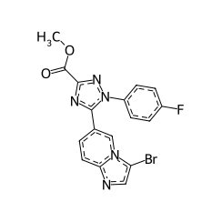 COC(=O)c1nc(-c2ccc3ncc(Br)n3c2)n(-c2ccc(F)cc2)n1